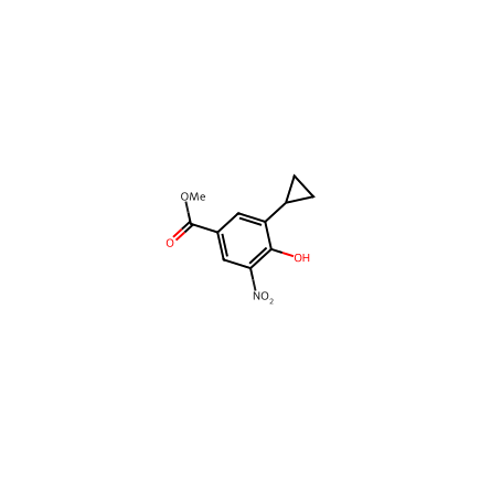 COC(=O)c1cc(C2CC2)c(O)c([N+](=O)[O-])c1